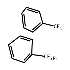 FC(F)(F)c1ccccc1.FC(F)(F)c1ccccc1.[P]